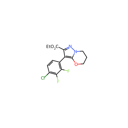 CCOC(=O)c1nn2c(c1-c1ccc(Cl)c(F)c1F)OCCC2